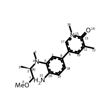 COC[C@@H](C)N(C)c1cc(-c2cc(C)c(=O)n(C)c2)ccc1N